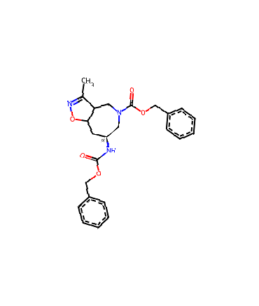 CC1=NOC2C[C@H](NC(=O)OCc3ccccc3)CN(C(=O)OCc3ccccc3)CC12